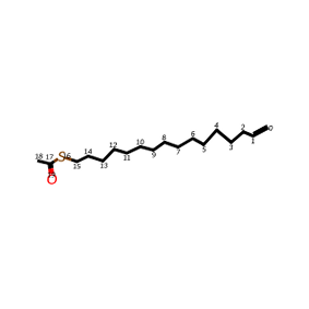 C=CCCCCCCCCCCCCCCSC(C)=O